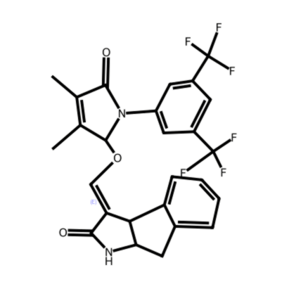 CC1=C(C)C(O/C=C2/C(=O)NC3Cc4ccccc4C23)N(c2cc(C(F)(F)F)cc(C(F)(F)F)c2)C1=O